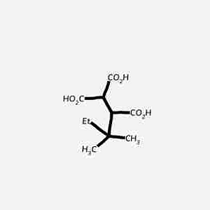 CCC(C)(C)C(C(=O)O)C(C(=O)O)C(=O)O